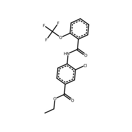 CCOC(=O)c1ccc(NC(=O)c2ccccc2OC(F)(F)F)c(Cl)c1